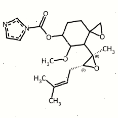 COC1C(OC(=O)n2ccnc2)CCC2(CO2)C1[C@@]1(C)O[C@@H]1CC=C(C)C